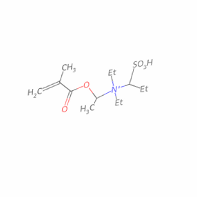 C=C(C)C(=O)OC(C)[N+](CC)(CC)C(CC)S(=O)(=O)O